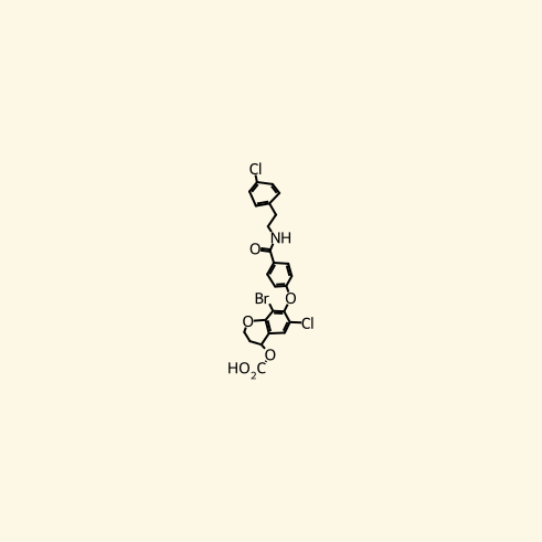 O=C(O)OC1CCOc2c1cc(Cl)c(Oc1ccc(C(=O)NCCc3ccc(Cl)cc3)cc1)c2Br